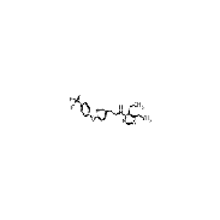 CCc1ncnc(NCCc2ccc(Oc3ccc(C(F)(F)F)cc3)cc2)c1CC